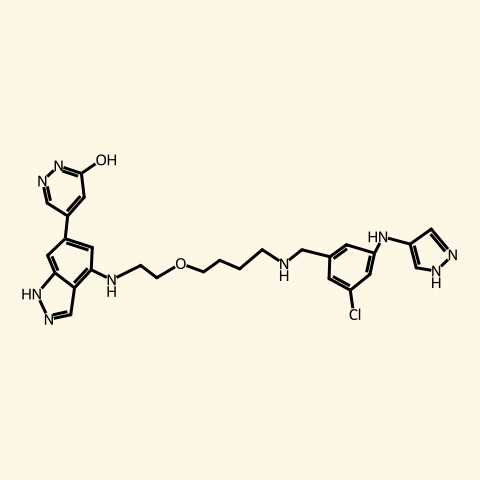 Oc1cc(-c2cc(NCCOCCCCNCc3cc(Cl)cc(Nc4cn[nH]c4)c3)c3cn[nH]c3c2)cnn1